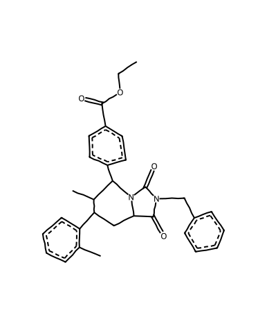 CCOC(=O)c1ccc(C2C(C)C(c3ccccc3C)CC3C(=O)N(Cc4ccccc4)C(=O)N32)cc1